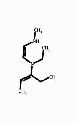 C/C=C(\CC)N(/C=C\NC)CC